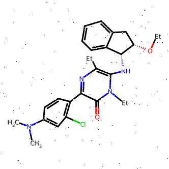 CCO[C@H]1Cc2ccccc2[C@H]1Nc1c(CC)nc(-c2ccc(N(C)C)cc2Cl)c(=O)n1CC